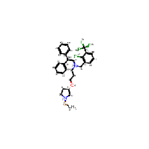 CSN1CC[C@H](OCCCN(Cc2cccc(C(F)(F)F)c2Cl)CC(c2ccccc2)c2ccccc2)C1